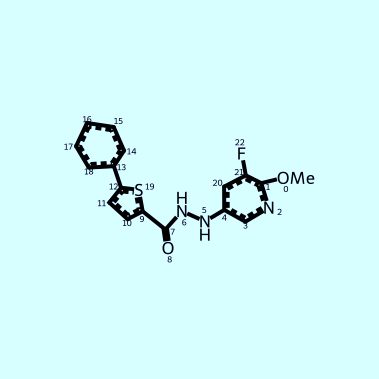 COc1ncc(NNC(=O)c2ccc(-c3ccccc3)s2)cc1F